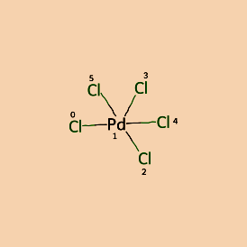 [Cl][Pd]([Cl])([Cl])([Cl])[Cl]